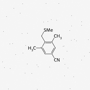 CSCc1c(C)cc(C#N)cc1C